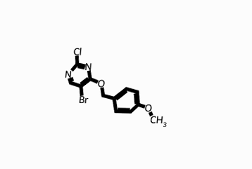 COc1ccc(COc2nc(Cl)ncc2Br)cc1